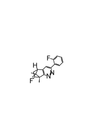 CC1(C)[C@@H]2C[C@H](F)[C@@]1(C)c1nnc(-c3ccccc3F)cc12